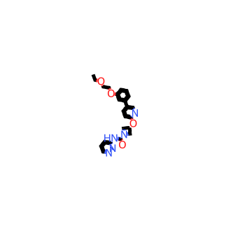 CCOCCOc1cccc(-c2ccc(OC3CN(C(=O)Nc4cccnn4)C3)nc2)c1